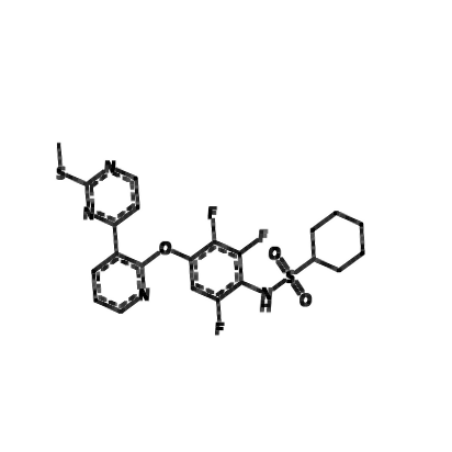 CSc1nccc(-c2cccnc2Oc2cc(F)c(NS(=O)(=O)C3CCCCC3)c(F)c2F)n1